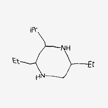 CCC1CNC(CC)C(C(C)C)N1